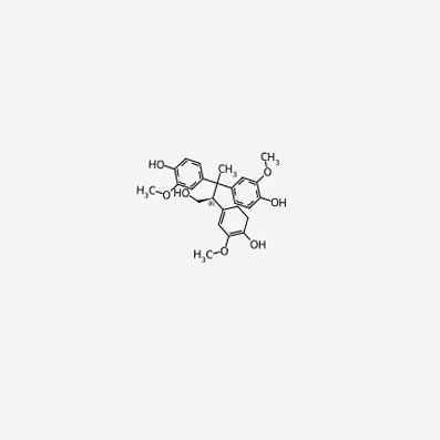 COC1=C(O)CCC([C@@H](CO)C(C)(c2ccc(O)c(OC)c2)c2ccc(O)c(OC)c2)=C1